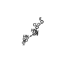 O=C(OC1CNC(C#Cc2cc3ncnc(Nc4ccc(OCc5cccc(F)c5)c(Cl)c4)c3s2)C1)N1CCSCC1